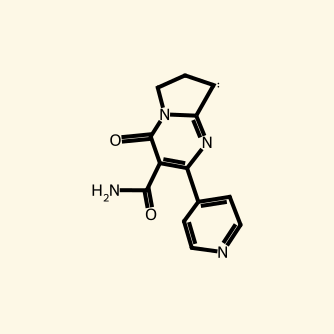 NC(=O)c1c(-c2ccncc2)nc2n(c1=O)CC[C]2